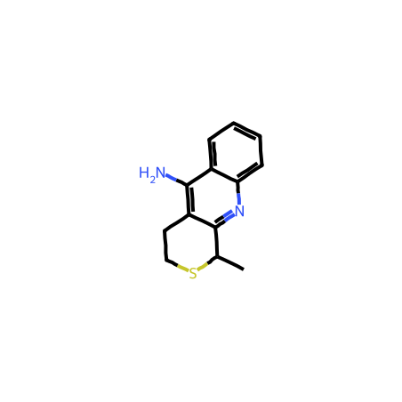 CC1SCCc2c1nc1ccccc1c2N